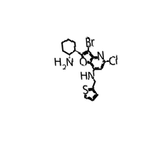 N[C@@H]1CCCC[C@H]1c1oc2c(NCc3cccs3)cc(Cl)nc2c1Br